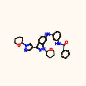 O=C(Nc1cccc(Nc2ccc3c(-c4cnn(C5CCC=CO5)c4)nn(C4CCCCO4)c3c2)c1)c1ccccc1